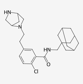 O=C(NCC12CC3CC(CC(C3)C1)C2)c1cc(CCN2CC3CC2CN3)ccc1Cl